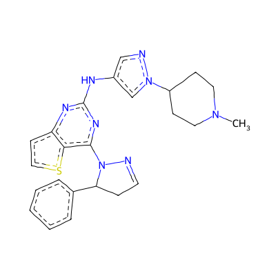 CN1CCC(n2cc(Nc3nc(N4N=CCC4c4ccccc4)c4sccc4n3)cn2)CC1